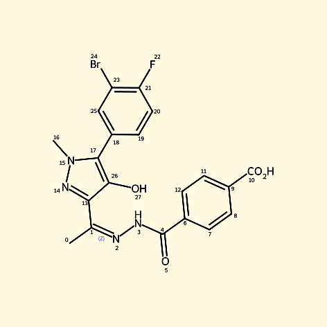 C/C(=N/NC(=O)c1ccc(C(=O)O)cc1)c1nn(C)c(-c2ccc(F)c(Br)c2)c1O